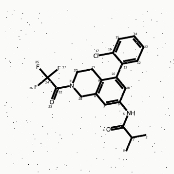 CC(C)C(=O)Nc1cc2c(c(-c3ccccc3Cl)c1)CCN(C(=O)C(F)(F)F)C2